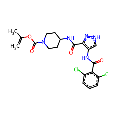 C=C(C)OC(=O)N1CCC(NC(=O)c2n[nH]cc2NC(=O)c2c(Cl)cccc2Cl)CC1